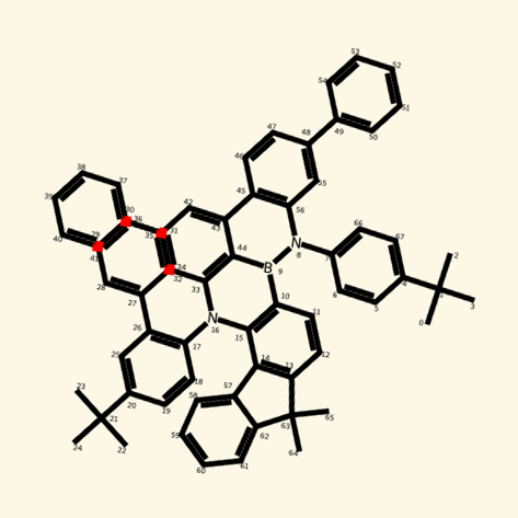 CC(C)(C)c1ccc(N2B3c4ccc5c(c4N(c4ccc(C(C)(C)C)cc4-c4ccccc4)c4cc(-c6ccccc6)cc(c43)-c3ccc(-c4ccccc4)cc32)-c2ccccc2C5(C)C)cc1